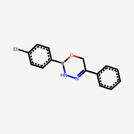 CCc1ccc(B2NN=C(c3ccccc3)CO2)cc1